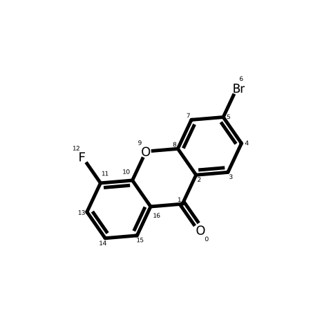 O=c1c2ccc(Br)cc2oc2c(F)cccc12